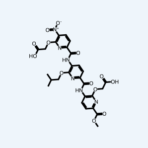 COC(=O)c1ccc(NC(=O)c2ccc(NC(=O)c3ccc([N+](=O)[O-])c(OCC(=O)O)n3)c(OCC(C)C)n2)c(OCC(=O)O)n1